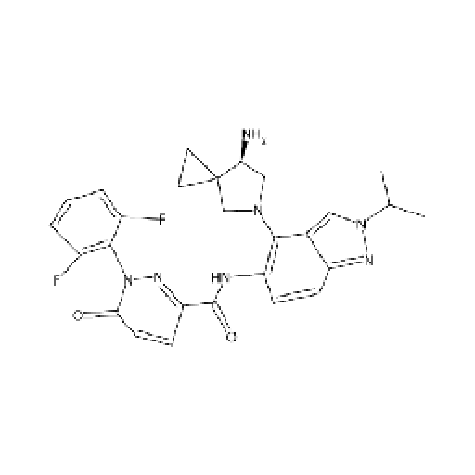 CC(C)n1cc2c(N3C[C@H](N)C4(CC4)C3)c(NC(=O)c3ccc(=O)n(-c4c(F)cccc4F)n3)ccc2n1